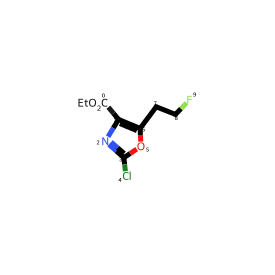 CCOC(=O)c1nc(Cl)oc1CCF